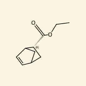 CCOC(=O)[C@@H]1CC2C=CC1C2